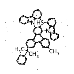 Cc1ccc2c(c1)c1cc(C(C)(C)c3ccccc3)ccc1c1cc3c4c(c21)-n1c2ccccc2c2cccc(c21)[SH]4c1cccc2c4ccccc4n-3c12